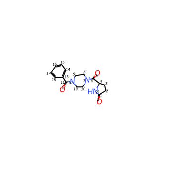 O=C1CCC(C(=O)N2CCN(C(=O)c3ccccc3)CC2)N1